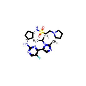 Cc1ncc(-c2nc(N[C@@H]3CC[C@H](NS(=O)(=O)CCN4CCCC4)C3)ncc2F)n1C(C)C